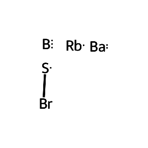 [B].[Ba].[Rb].[S]Br